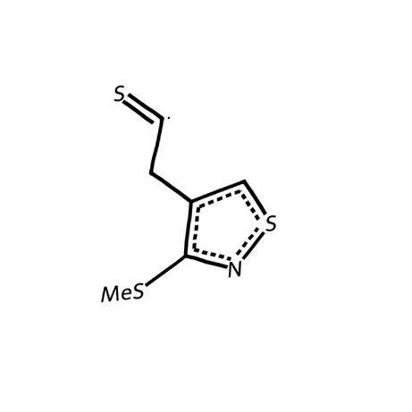 CSc1nscc1C[C]=S